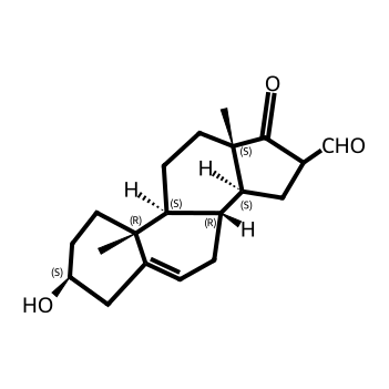 C[C@]12CC[C@H](O)CC1=CC[C@@H]1[C@@H]2CC[C@]2(C)C(=O)C(C=O)C[C@@H]12